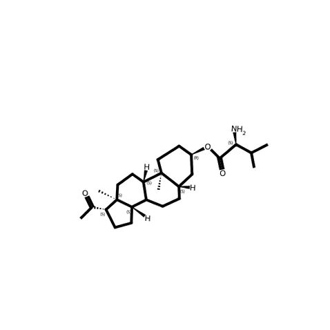 CC(=O)[C@H]1CC[C@H]2C3CC[C@H]4C[C@H](OC(=O)[C@@H](N)C(C)C)CC[C@]4(C)[C@H]3CC[C@]12C